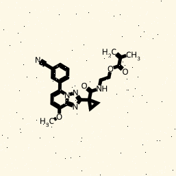 C=C(C)C(=O)OCCNC(=O)C1(c2nc3c(OC)ccc(-c4cccc(C#N)c4)n3n2)CC1